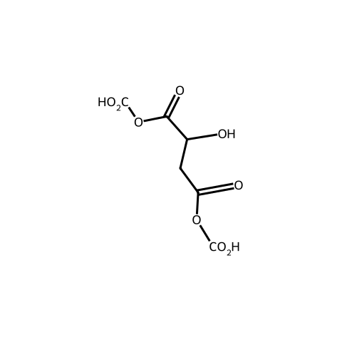 O=C(O)OC(=O)CC(O)C(=O)OC(=O)O